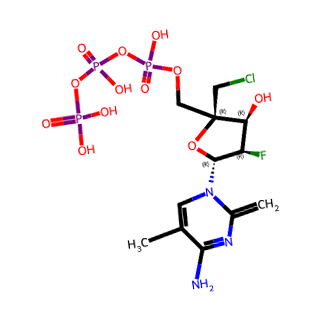 C=C1N=C(N)C(C)=CN1[C@@H]1O[C@](CCl)(COP(=O)(O)OP(=O)(O)OP(=O)(O)O)[C@@H](O)[C@H]1F